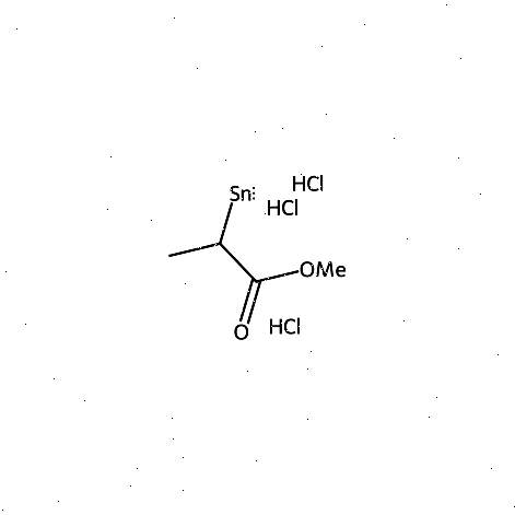 COC(=O)[CH](C)[Sn].Cl.Cl.Cl